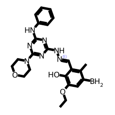 Bc1cc(OCC)c(O)c(/C=N/Nc2nc(Nc3ccccc3)nc(N3CCOCC3)n2)c1C